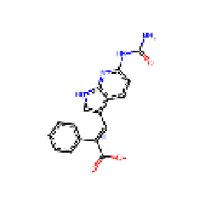 NC(=O)Nc1ccc2c(/C=C(/C(=O)O)c3ccccc3)c[nH]c2n1